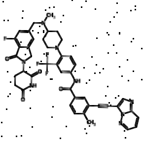 Cc1ccc(C(=O)Nc2ccc(N3CCC(N(C)Cc4cc(F)c5c(c4)CN(C4CCC(=O)NC4=O)C5=O)CC3)c(C(F)(F)F)c2)cc1C#Cc1cnc2cccnn12